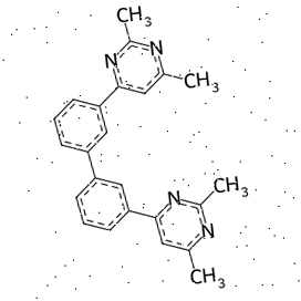 Cc1cc(-c2cccc(-c3cccc(-c4cc(C)nc(C)n4)c3)c2)nc(C)n1